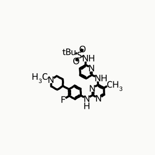 Cc1cnc(Nc2ccc(C3CCN(C)CC3)c(F)c2)nc1Nc1cccc(NS(=O)(=O)C(C)(C)C)n1